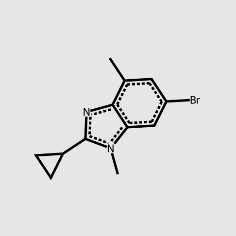 Cc1cc(Br)cc2c1nc(C1CC1)n2C